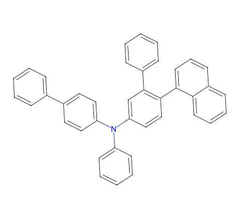 c1ccc(-c2ccc(N(c3ccccc3)c3ccc(-c4cccc5ccccc45)c(-c4ccccc4)c3)cc2)cc1